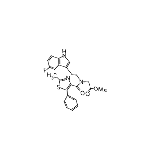 COC(=O)CN(CCc1c[nH]c2ccc(F)cc12)C(=O)c1nc(C)sc1-c1ccccc1